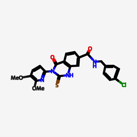 COc1ccc(-n2c(=S)[nH]c3cc(C(=O)NCc4ccc(Cl)cc4)ccc3c2=O)nc1OC